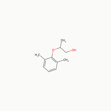 Cc1cccc(C)c1OC(C)CO